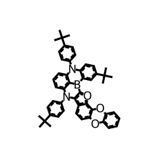 CC(C)(C)c1ccc(N2c3ccc(C(C)(C)C)cc3B3c4oc5c6c(ccc5c4N(c4ccc(C(C)(C)C)cc4)c4cccc2c43)Oc2ccccc2O6)cc1